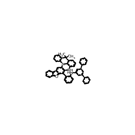 CC1(C)c2ccccc2N2c3cc4c(oc5ccccc54)c(-c4ccccc4Nc4cc(-c5ccccc5)cc(-c5ccccc5)c4)c3Bc3cccc1c32